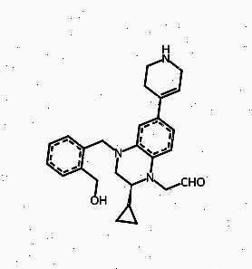 O=CCN1c2ccc(C3=CCNCC3)cc2N(Cc2ccccc2CO)C[C@@H]1C1CC1